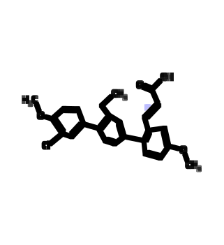 CCc1cc(-c2ccc(OC)cc2/C=C/C(=O)O)ccc1-c1ccc(OC)c(Cl)c1